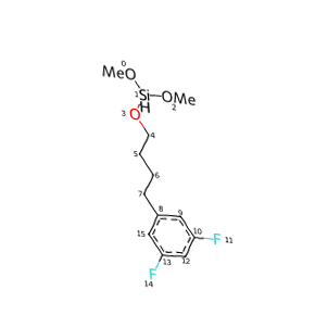 CO[SiH](OC)OCCCCc1cc(F)cc(F)c1